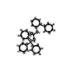 O=C(Oc1ccccc1-c1ccccc1)OC(c1ccccc1)(c1ccccc1)c1ccccc1